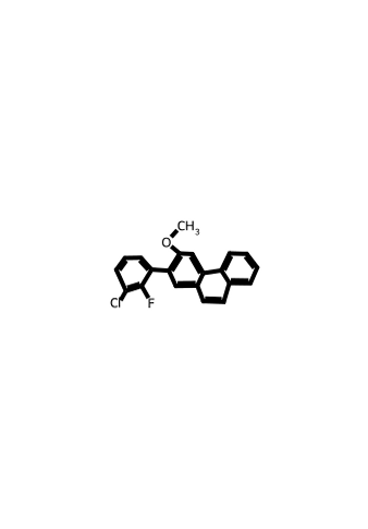 COc1cc2c(ccc3ccccc32)cc1-c1cccc(Cl)c1F